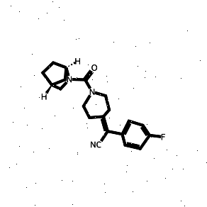 N#CC(=C1CCN(C(=O)N2C[C@@H]3CC[C@@H]2C3)CC1)c1ccc(F)cc1